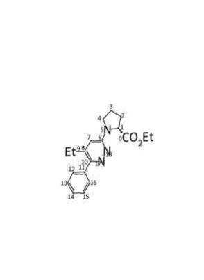 CCOC(=O)[C@@H]1CCCN1c1cc(CC)c(-c2ccccc2)nn1